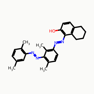 Cc1ccc(C)c(N=Nc2c(C)ccc(N=Nc3c(O)ccc4c3CCCC4)c2C)c1